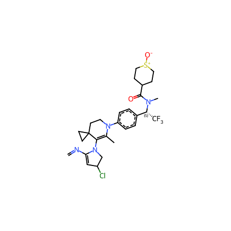 C=NC1=CC(Cl)CN1C1=C(C)N(c2ccc([C@H](N(C)C(=O)C3CC[S+]([O-])CC3)C(F)(F)F)cc2)CCC12CC2